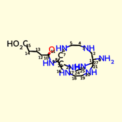 NC12CNCCNCC(NC(=O)CCCC(=O)O)(CNCCNC1)CNCCNC2